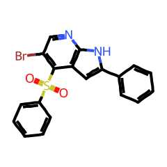 O=S(=O)(c1ccccc1)c1c(Br)cnc2[nH]c(-c3ccccc3)cc12